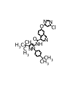 CC(C)c1ccc(-n2nc(C(C)(C)C)cc2NC(=O)c2cncc3cc(Oc4cc(Cl)ncn4)ccc23)cc1